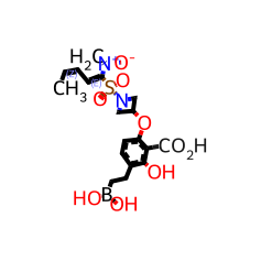 C=[N+]([O-])/C(=C\C=C/C)S(=O)(=O)N1CC(Oc2ccc(CCB(O)O)c(O)c2C(=O)O)C1